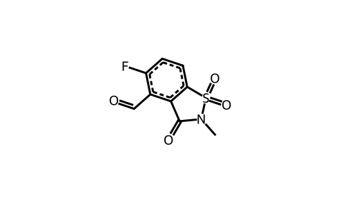 CN1C(=O)c2c(ccc(F)c2C=O)S1(=O)=O